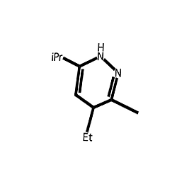 CCC1C=C(C(C)C)NN=C1C